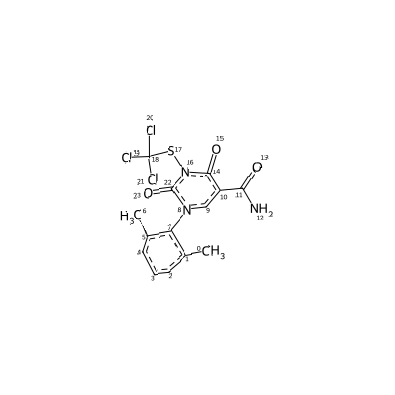 Cc1cccc(C)c1-n1cc(C(N)=O)c(=O)n(SC(Cl)(Cl)Cl)c1=O